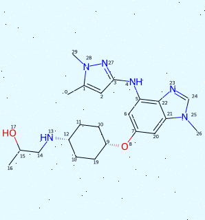 Cc1cc(Nc2cc(O[C@H]3CC[C@@H](NCC(C)O)CC3)cc3c2ncn3C)nn1C